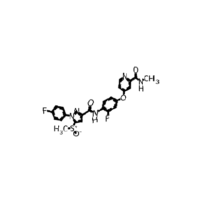 CNC(=O)c1cc(Oc2ccc(NC(=O)c3cc([S+](C)[O-])n(-c4ccc(F)cc4)n3)c(F)c2)ccn1